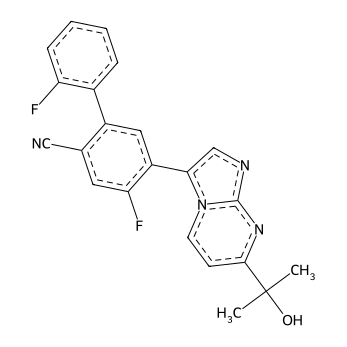 CC(C)(O)c1ccn2c(-c3cc(-c4ccccc4F)c(C#N)cc3F)cnc2n1